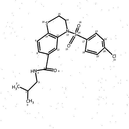 CC(C)CNC(=O)c1ccc2c(c1)N(S(=O)(=O)c1ccc(Cl)cc1)CCS2